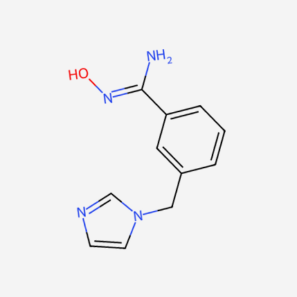 NC(=NO)c1cccc(Cn2ccnc2)c1